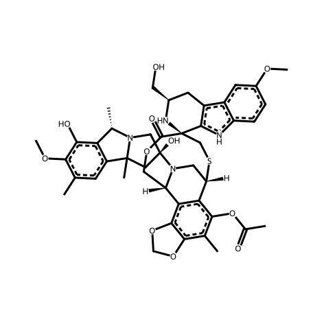 COc1ccc2[nH]c3c(c2c1)C[C@H](CO)N[C@]31CS[C@H]2CN([C@@]3(O)CN4[C@@H](C)c5c(cc(C)c(OC)c5O)C4(C)C3)[C@@H](COC1=O)c1c3c(c(C)c(OC(C)=O)c12)OCO3